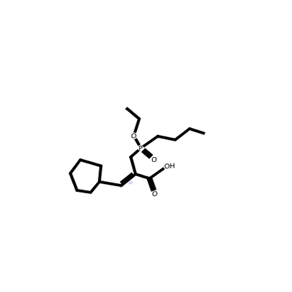 CCCCP(=O)(C/C(=C\C1CCCCC1)C(=O)O)OCC